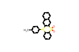 Cc1ccc([S+]2c3ccccc3S(=O)(=O)c3cc4ccccc4cc32)cc1